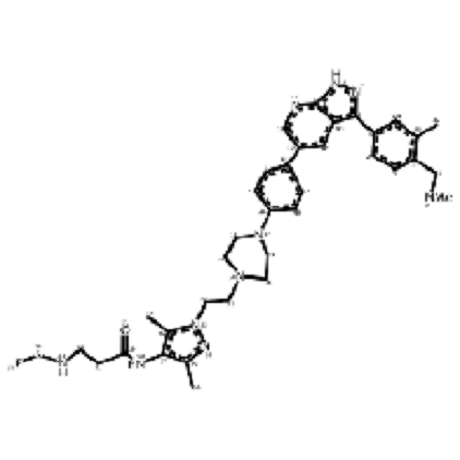 CNCc1ccc(-c2n[nH]c3ncc(-c4ccc(N5CCN(CCn6nc(C)c(NC(=O)CCNSF)c6C)CC5)cc4)cc23)cc1C